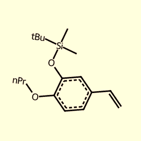 C=Cc1ccc(OCCC)c(O[Si](C)(C)C(C)(C)C)c1